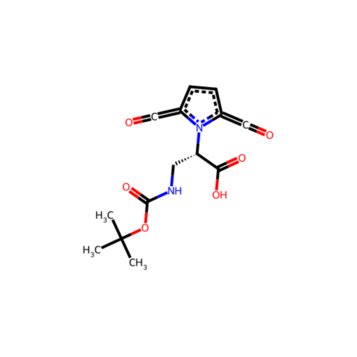 CC(C)(C)OC(=O)NC[C@@H](C(=O)O)n1c(=C=O)ccc1=C=O